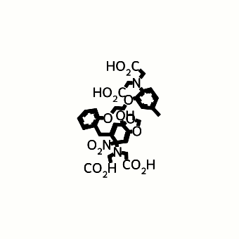 Cc1ccc(N(CC(=O)O)CC(=O)O)c(OCCOc2ccccc2CC2=CC3(O)OCOC3=CC2(N(CC(=O)O)CC(=O)O)[N+](=O)[O-])c1